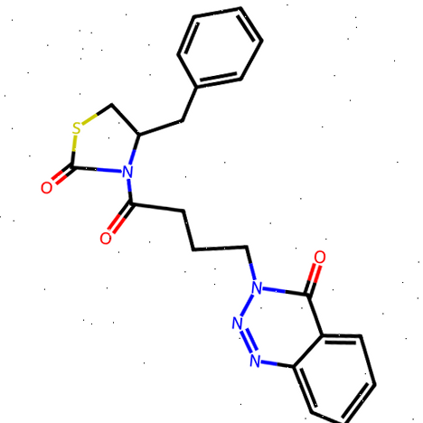 O=C(CCCn1nnc2ccccc2c1=O)N1C(=O)SCC1Cc1ccccc1